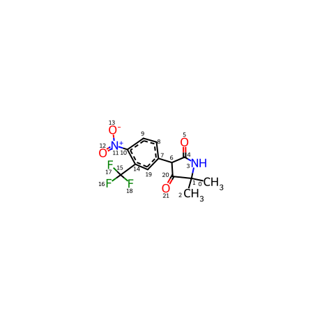 CC1(C)NC(=O)C(c2ccc([N+](=O)[O-])c(C(F)(F)F)c2)C1=O